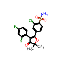 CC1(C)OC(c2ccc(S(N)(=O)=O)c(Cl)c2)=C(c2ccc(F)cc2F)C1=O